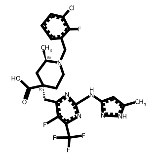 Cc1cc(Nc2nc(C[C@@]3(C(=O)O)CCN(Cc4cccc(Cl)c4F)[C@H](C)C3)c(F)c(C(F)(F)F)n2)n[nH]1